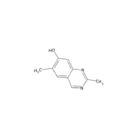 Cc1ncc2cc(C)c(O)cc2n1